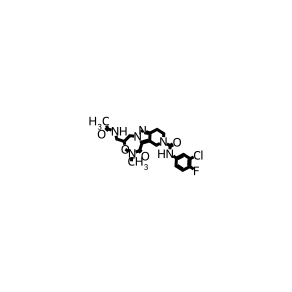 CC(=O)NCC1Cn2nc3c(c2C(=O)N(C)O1)CN(C(=O)Nc1ccc(F)c(Cl)c1)CC3